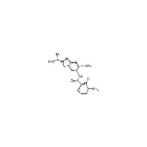 CCC(O)n1cc2cc(NC(=O)c3cccc(C)[n+]3[O-])c(OC)cc2n1